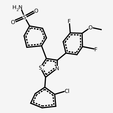 COc1c(F)cc(-c2nc(-c3ccccc3Cl)sc2-c2ccc(S(N)(=O)=O)cc2)cc1F